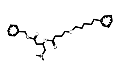 CN(C)CC(CC(=O)OCc1ccccc1)NC(=O)CCCOCCCCCc1ccccc1